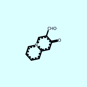 O=[C]c1cn2ccccc2cc1=O